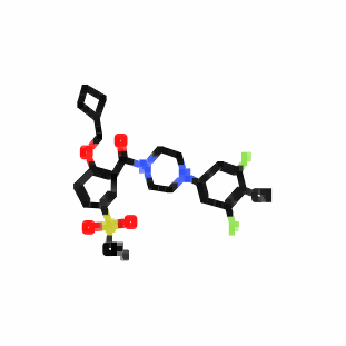 CS(=O)(=O)c1ccc(OCC2CCC2)c(C(=O)N2CCN(c3cc(F)c(C#N)c(F)c3)CC2)c1